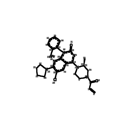 C=CC(=O)N1CCN(c2nc(=O)n(-c3ccccc3CCC)c3nc(N4CCCC4)c(Cl)cc23)[C@@H](C)C1